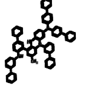 Cc1cc(-c2cc(-c3ccccc3)ccc2Nc2cccc(-c3ccccc3)c2)c2c(c1)N(c1cccc(-c3ccccc3)c1)c1cc(N(c3ccc(-c4ccccc4)cc3)c3ccc(-c4ccccc4)cc3)ccc1B2